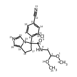 COC(CNC(=O)C1(c2ccc(C#N)cc2Cl)CCc2cncn21)OC